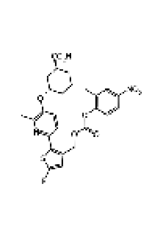 Cc1cc([N+](=O)[O-])ccc1OC(=O)OCc1cc(F)sc1-c1ccc(O[C@H]2CCC[C@H](C(=O)O)C2)c(C)n1